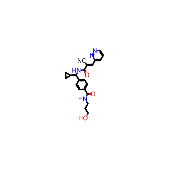 N#C/C(=C\c1cccnn1)C(=O)NC(c1ccc(C(=O)NCCCO)cc1)C1CC1